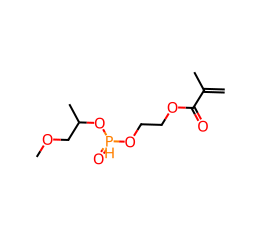 C=C(C)C(=O)OCCO[PH](=O)OC(C)COC